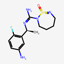 C[C@H](/N=C(/N)N1CCCCN=[SH]1=O)c1cc(N)ccc1F